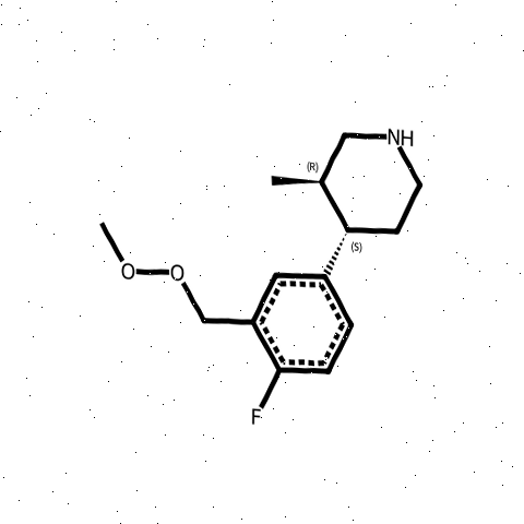 COOCc1cc([C@H]2CCNC[C@@H]2C)ccc1F